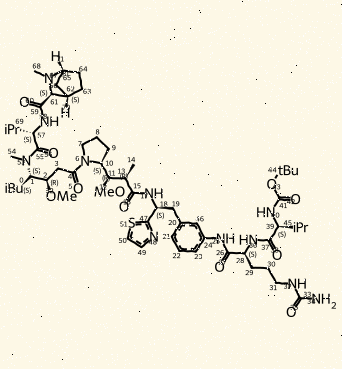 CC[C@H](C)[C@@H]([C@@H](CC(=O)N1CCC[C@H]1[C@H](OC)[C@@H](C)C(=O)N[C@@H](Cc1cccc(NC(=O)[C@H](CCCNC(N)=O)NC(=O)[C@@H](NC(=O)OC(C)(C)C)C(C)C)c1)c1nccs1)OC)N(C)C(=O)[C@@H](NC(=O)[C@@H]1[C@H]2CC[C@H](C2)N1C)C(C)C